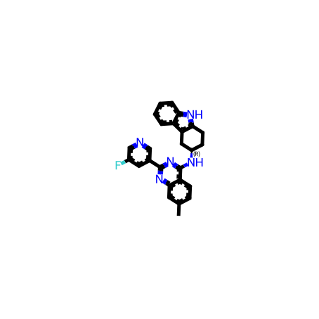 Cc1ccc2c(N[C@@H]3CCc4[nH]c5ccccc5c4C3)nc(-c3cncc(F)c3)nc2c1